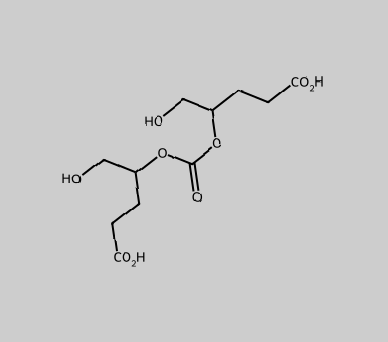 O=C(O)CCC(CO)OC(=O)OC(CO)CCC(=O)O